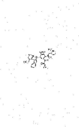 C=CC(=O)Nc1cc(Nc2cc3ccccc3n2-c2ncncc2C(=O)O)c(OC)cc1N(C)CC1CCCN1C